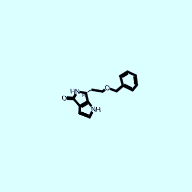 O=C1N[C@H](CCOCc2ccccc2)c2[nH]ccc21